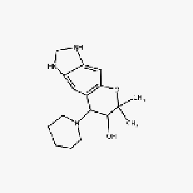 CC1(C)Oc2cc3c(cc2C(N2CCCCC2)C1O)NCN3